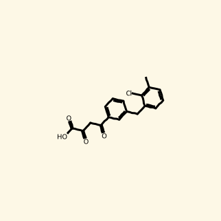 Cc1cccc(Cc2cccc(C(=O)CC(=O)C(=O)O)c2)c1Cl